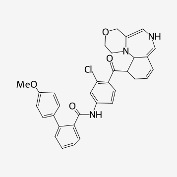 COc1ccc(-c2ccccc2C(=O)Nc2ccc(C(=O)C3CC=CC4=CNC=C5COCCN5C43)c(Cl)c2)cc1